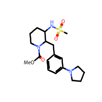 COC(=O)N1CCCC(NS(C)(=O)=O)C1Cc1cccc(N2CCCC2)c1